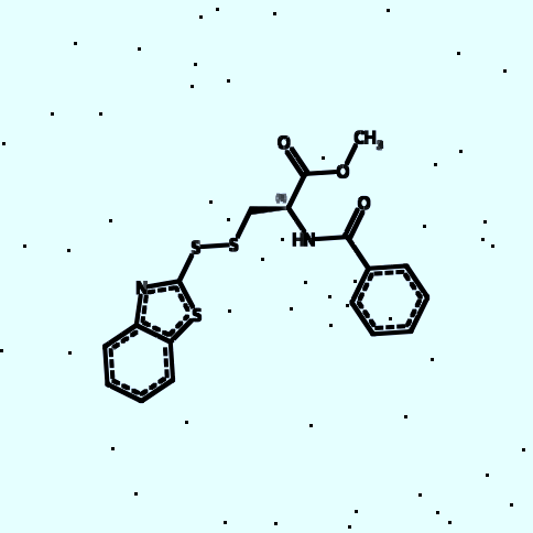 COC(=O)[C@H](CSSc1nc2ccccc2s1)NC(=O)c1ccccc1